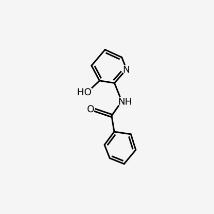 O=C(Nc1ncccc1O)c1ccccc1